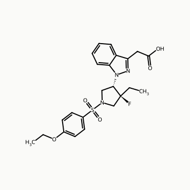 CCOc1ccc(S(=O)(=O)N2C[C@H](n3nc(CC(=O)O)c4ccccc43)[C@](F)(CC)C2)cc1